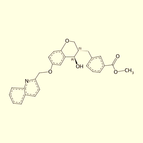 COC(=O)c1cccc(C[C@H]2COc3ccc(OCc4ccc5ccccc5n4)cc3[C@@H]2O)c1